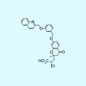 CCC(CC1(C)CC(=O)c2ccc(OCc3cccc(OCc4ccc5ccccc5n4)c3)cc2O1)C(=O)O